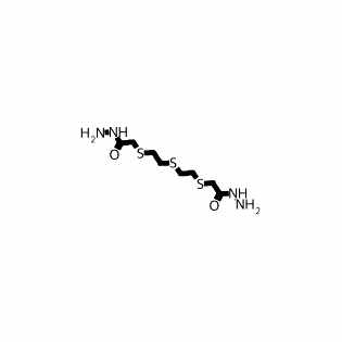 NNC(=O)CSCCSCCSCC(=O)NN